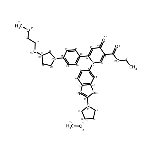 CCOC(=O)c1cn(-c2ccc3nc(N4CC[C@H](OC)C4)sc3c2)c(-c2ccc(N3CC[C@@H](OCCOC)C3)cc2)cc1=O